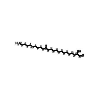 NCCCCOCCCCNCCCCOCCCCCCC(O)CCl